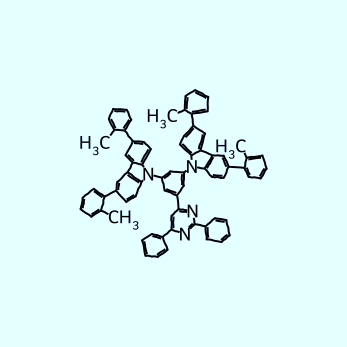 Cc1ccccc1-c1ccc2c(c1)c1cc(-c3ccccc3C)ccc1n2-c1cc(-c2cc(-c3ccccc3)nc(-c3ccccc3)n2)cc(-n2c3ccc(-c4ccccc4C)cc3c3cc(-c4ccccc4C)ccc32)c1